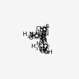 CC(C)C1C(Nc2ncc3nc(Nc4c(Cl)cc(F)cc4Cl)n(C4CCC(C(N)=O)CC4)c3n2)CCCN1C(=O)O